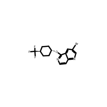 FC(F)(F)[C@H]1CC[C@H](Oc2nccc3ncc(Br)cc23)CC1